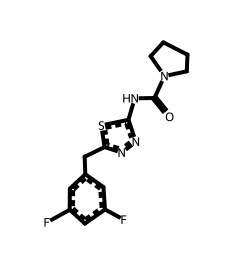 O=C(Nc1nnc(Cc2cc(F)cc(F)c2)s1)N1CCCC1